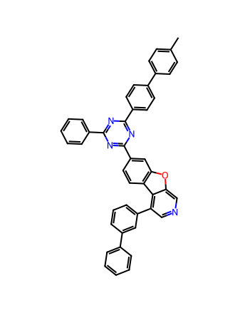 Cc1ccc(-c2ccc(-c3nc(-c4ccccc4)nc(-c4ccc5c(c4)oc4cncc(-c6cccc(-c7ccccc7)c6)c45)n3)cc2)cc1